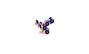 C=CC(=O)N1CCN2C(=O)c3c(-c4ccc(Nc5c(C)ccnc5C(C)C)cc4)nc(-c4c(O)cccc4F)c(F)c3OC[C@H]2C1